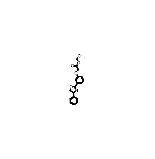 CCOC(=O)COc1cccc(C2=NC(c3ccccc3)CO2)c1